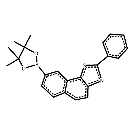 CC1(C)OB(c2ccc3ccc4nc(-c5ccccc5)sc4c3c2)OC1(C)C